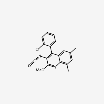 COc1nc2c(C)cc(C)cc2c(-c2ccccc2Cl)c1N=C=O